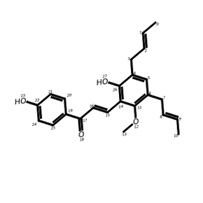 CC=CCc1cc(CC=CC)c(OC)c(C=CC(=O)c2ccc(O)cc2)c1O